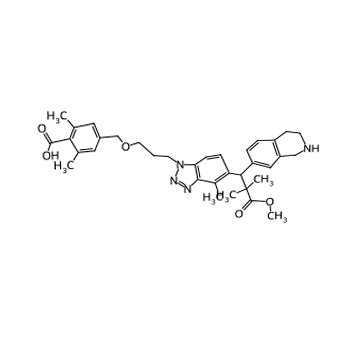 COC(=O)C(C)(C)C(c1ccc2c(c1)CNCC2)c1ccc2c(nnn2CCCOCc2cc(C)c(C(=O)O)c(C)c2)c1C